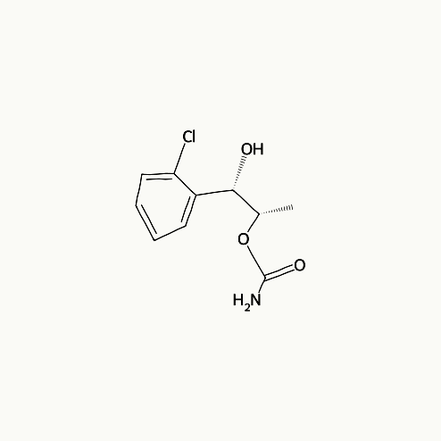 C[C@H](OC(N)=O)[C@@H](O)c1ccccc1Cl